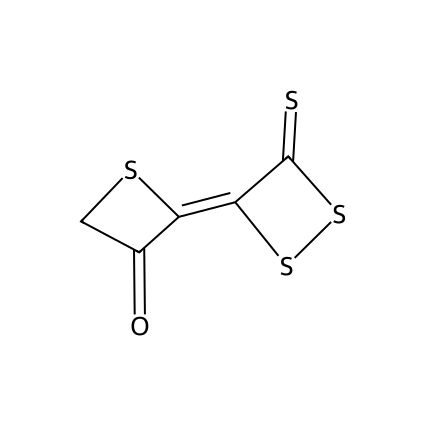 O=C1CS/C1=C1/SSC1=S